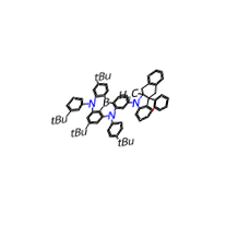 CC(C)(C)c1ccc(N2c3cc(N4c5ccccc5C5(c6ccccc6)Cc6ccccc6CC45C)ccc3B3c4ccc(C(C)(C)C)cc4N(c4cccc(C(C)(C)C)c4)c4cc(C(C)(C)C)cc2c43)cc1